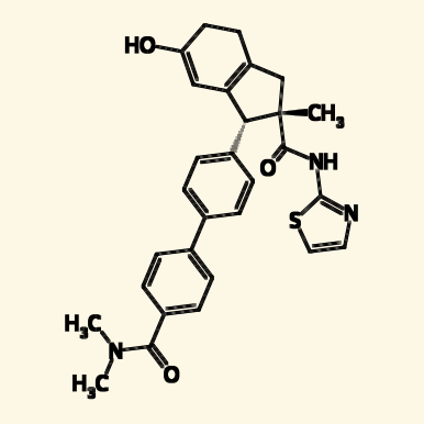 CN(C)C(=O)c1ccc(-c2ccc([C@@H]3C4=C(CCC(O)=C4)C[C@]3(C)C(=O)Nc3nccs3)cc2)cc1